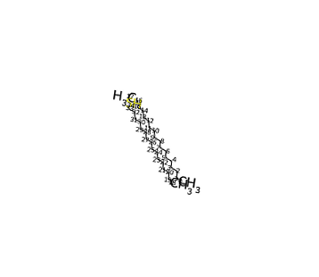 CCCCCCCCCCCCCCCCCC.CCCCCCCCCCCCCCCCS